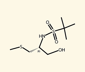 CSC[C@@H](CO)NS(=O)(=O)C(C)(C)C